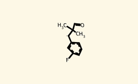 CC(C)([CH]c1cccc(F)c1)C=O